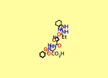 CCC(Nc1nc2c([nH]1)CCCC2)Oc1cc(C(=O)NCC(NS(=O)(=O)c2ccccc2)C(=O)O)on1